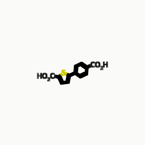 O=C(O)c1ccc(-c2ccc(C(=O)O)s2)cc1